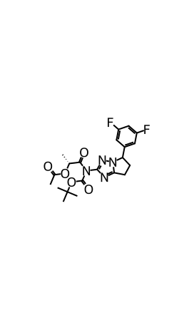 CC(=O)O[C@H](C)C(=O)N(C(=O)OC(C)(C)C)c1nc2n(n1)C(c1cc(F)cc(F)c1)CC2